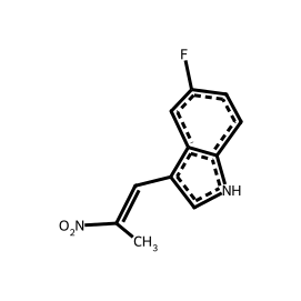 CC(=Cc1c[nH]c2ccc(F)cc12)[N+](=O)[O-]